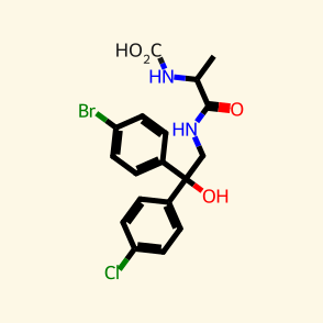 CC(NC(=O)O)C(=O)NCC(O)(c1ccc(Cl)cc1)c1ccc(Br)cc1